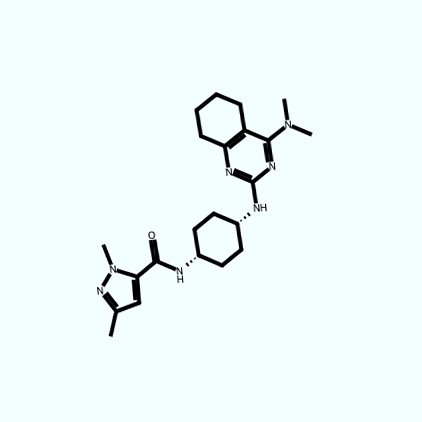 Cc1cc(C(=O)N[C@H]2CC[C@@H](Nc3nc4c(c(N(C)C)n3)CCCC4)CC2)n(C)n1